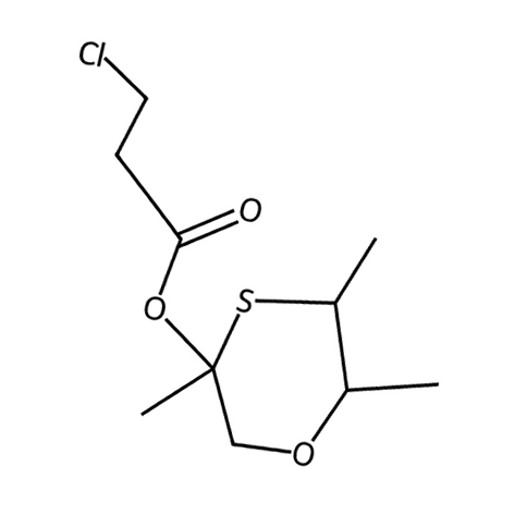 CC1OCC(C)(OC(=O)CCCl)SC1C